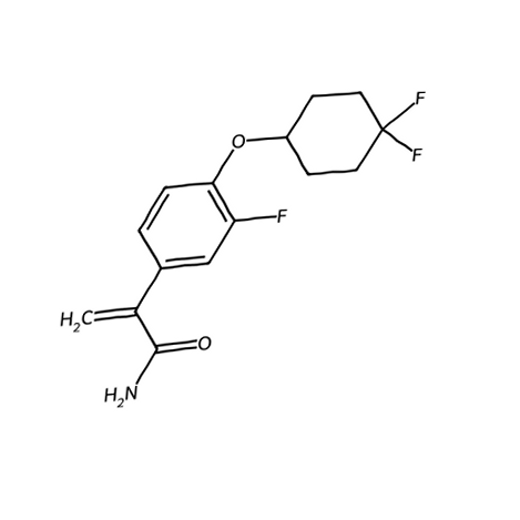 C=C(C(N)=O)c1ccc(OC2CCC(F)(F)CC2)c(F)c1